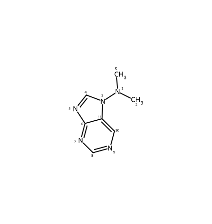 CN(C)n1cnc2ncncc21